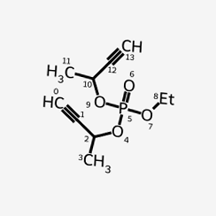 C#CC(C)OP(=O)(OCC)OC(C)C#C